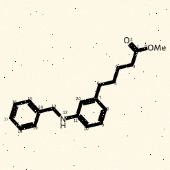 COC(=O)CCCCc1cccc(NCc2ccccc2)c1